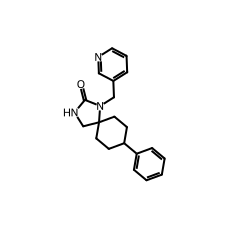 O=C1NCC2(CCC(c3ccccc3)CC2)N1Cc1cccnc1